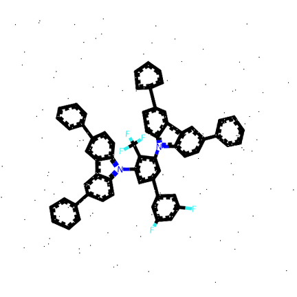 Fc1cc(F)cc(-c2cc(-n3c4ccc(-c5ccccc5)cc4c4cc(-c5ccccc5)ccc43)c(C(F)(F)F)c(-n3c4ccc(-c5ccccc5)cc4c4cc(-c5ccccc5)ccc43)c2)c1